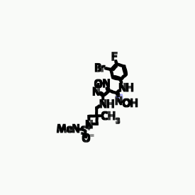 CN[S+]([O-])N1CC(C)(CNc2nonc2/C(=N/O)Nc2ccc(F)c(Br)c2)C1